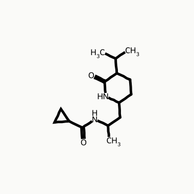 CC(CC1CCC(C(C)C)C(=O)N1)NC(=O)C1CC1